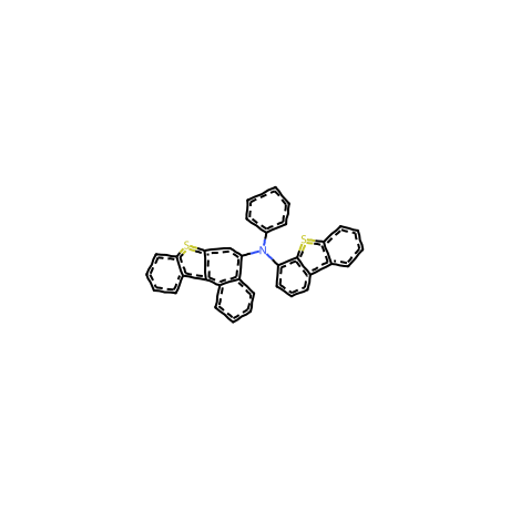 c1ccc(N(c2cc3sc4ccccc4c3c3ccccc23)c2cccc3c2sc2ccccc23)cc1